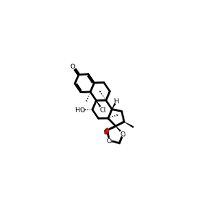 C[C@@H]1C[C@H]2[C@]3(C)CCC4=CC(=O)C=C[C@]4(C)[C@@]3(Cl)[C@@H](O)C[C@]2(C)[C@]12OCOC21COCO1